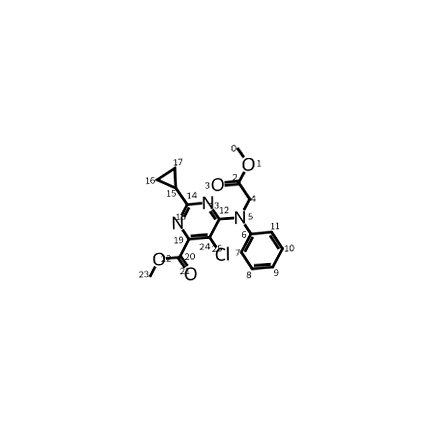 COC(=O)CN(c1ccccc1)c1nc(C2CC2)nc(C(=O)OC)c1Cl